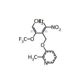 C/C=C(OC(F)(F)F)\C(COc1cccnc1C)=C(/CC)[N+](=O)[O-]